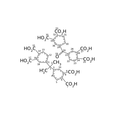 CC(C)(c1ccc(C(=O)O)c(C(=O)O)c1)c1ccc(C(=O)O)c(C(=O)O)c1.O=C(c1ccc(C(=O)O)c(C(=O)O)c1)c1ccc(C(=O)O)c(C(=O)O)c1